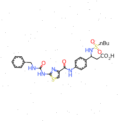 CCCCS(=O)(=O)NC(CC(=O)O)c1ccc(NC(=O)c2csc(NC(=O)NCc3ccccc3)n2)cc1